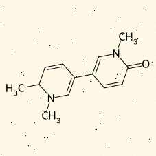 CC1C=CC(c2ccc(=O)n(C)c2)=CN1C